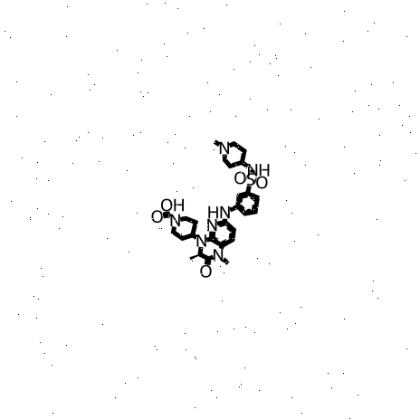 C[C@@H]1C(=O)N(C)c2ccc(Nc3cccc(S(=O)(=O)NC4CCN(C)CC4)c3)nc2N1C1CCN(C(=O)O)CC1